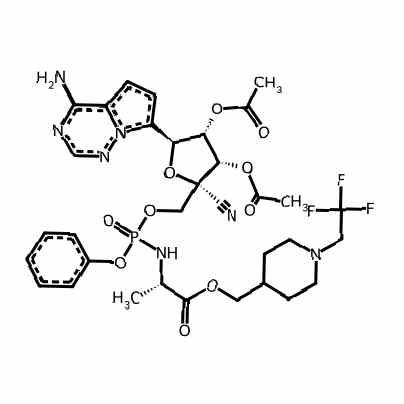 CC(=O)O[C@H]1[C@H](c2ccc3c(N)ncnn23)O[C@](C#N)(COP(=O)(N[C@@H](C)C(=O)OCC2CCN(CC(F)(F)F)CC2)Oc2ccccc2)[C@H]1OC(C)=O